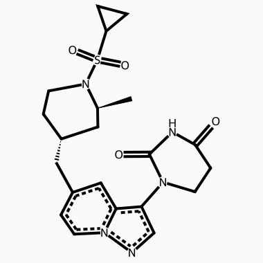 C[C@H]1C[C@H](Cc2ccn3ncc(N4CCC(=O)NC4=O)c3c2)CCN1S(=O)(=O)C1CC1